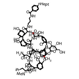 CCCCCCCc1ccc(C(=O)NCCCNC(=O)C2NC(=O)[C@H]3NC(=O)[C@H](NC(=O)C4NC(=O)[C@H](CC(N)=O)NC(=O)[C@H](NC(=O)[C@@H](CC(C)C)NC)[C@H](O)c5ccc(c(Cl)c5)Oc5cc4cc(c5O[C@@H]4O[C@H](CO)[C@@H](O)[C@H](O)[C@H]4OC4C[C@](C)(N)[C@H](O)[C@H](C)O4)Oc4ccc(cc4Cl)[C@H]3O)c3ccc(O)c(c3)-c3c(O)cc(O)cc32)cc1